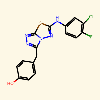 Oc1ccc(Cc2nnc3sc(Nc4ccc(F)c(Cl)c4)nn23)cc1